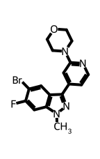 Cn1nc(-c2ccnc(N3CCOCC3)c2)c2cc(Br)c(F)cc21